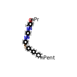 CCCCCC1CCC(c2ccc(-c3ccc(Sc4ccc(N=Nc5ccc(N=Nc6ccc(OCCC)cc6C)cc5)cc4)cc3)cc2)CC1